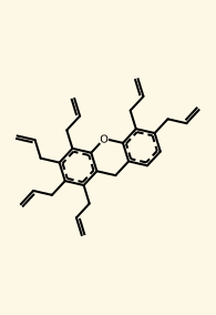 C=CCc1ccc2c(c1CC=C)Oc1c(CC=C)c(CC=C)c(CC=C)c(CC=C)c1C2